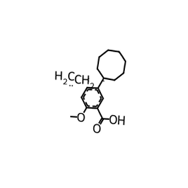 COc1ccc([C]2CCCCCCC2)cc1C(=O)O.[CH2].[CH2]